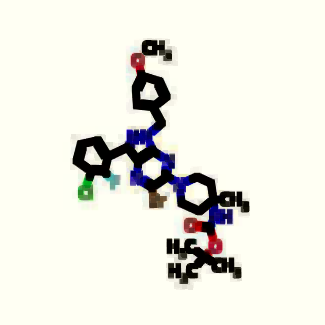 COc1ccc(Cn2nc(-c3cccc(Cl)c3F)c3nc(Br)c(N4CCC(C)(NC(=O)OC(C)(C)C)CC4)nc32)cc1